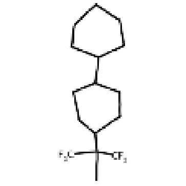 CC(C1CCC(C2CCCCC2)CC1)(C(F)(F)F)C(F)(F)F